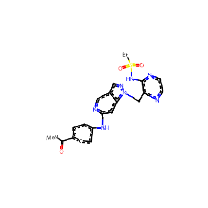 CCS(=O)(=O)Nc1nccnc1Cn1ncc2cnc(Nc3ccc(C(=O)NC)cc3)cc21